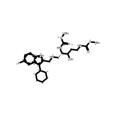 CC(C)(C)OC(=O)NCCC(O)[C@H](CNCc1[nH]c2ccc(F)cc2c1C1CCCCC1)NC(=O)OC(C)(C)C